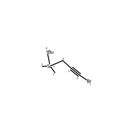 CC(C)(C)[Si](C)(C)CC#CBr